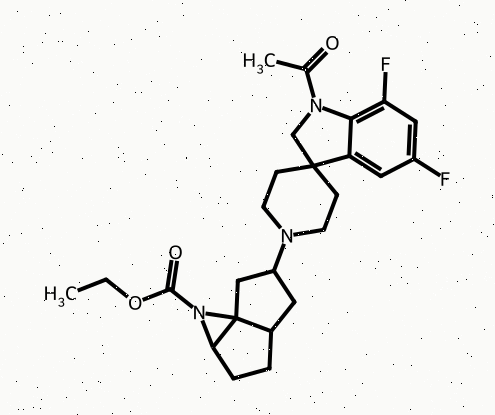 CCOC(=O)N1C2CCC3CC(N4CCC5(CC4)CN(C(C)=O)c4c(F)cc(F)cc45)CC321